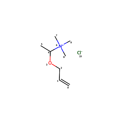 C=CCOC(C)[N+](C)(C)C.[Cl-]